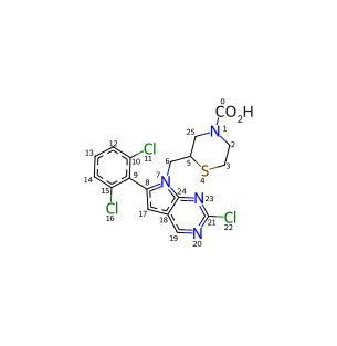 O=C(O)N1CCSC(Cn2c(-c3c(Cl)cccc3Cl)cc3cnc(Cl)nc32)C1